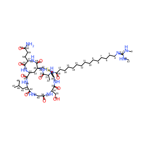 CNC(=NCCCCCCCCCCCCCCC(=O)NC(C)C(=O)NC12CS/C=C\NC(=O)C(CO)NC(=O)CNC(=O)C(CC(C)C)NC(=O)C(C1)NC(=O)C(CCC(N)=O)NC2=O)NC